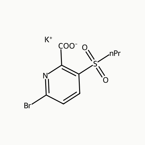 CCCS(=O)(=O)c1ccc(Br)nc1C(=O)[O-].[K+]